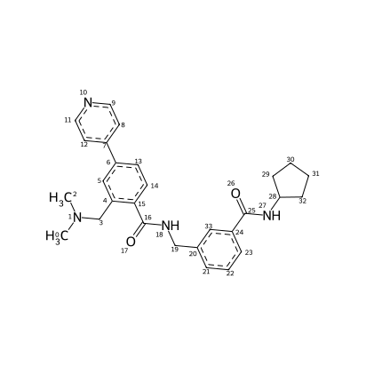 CN(C)Cc1cc(-c2ccncc2)ccc1C(=O)NCc1cccc(C(=O)NC2CCCC2)c1